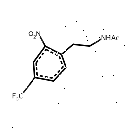 CC(=O)NCCc1ccc(C(F)(F)F)cc1[N+](=O)[O-]